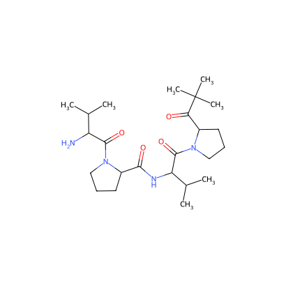 CC(C)C(N)C(=O)N1CCCC1C(=O)NC(C(=O)N1CCCC1C(=O)C(C)(C)C)C(C)C